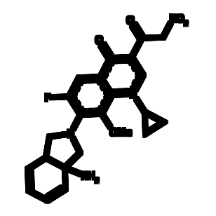 COc1c(N2CC3C=CC=CC3(N)C2)c(F)cc2c(=O)c(C(=O)C[N+](=O)[O-])cn(C3CC3)c12